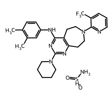 Cc1ccc(Nc2nc(N3CCCCC3)nc3c2CCN(c2ncccc2C(F)(F)F)CC3)cc1C.N[SH](=O)=O